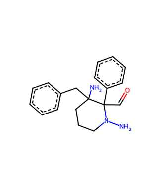 NN1CCCC(N)(Cc2ccccc2)C1(C=O)c1ccccc1